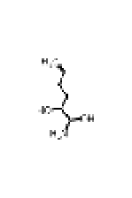 C=CCCC(O)C(N)O